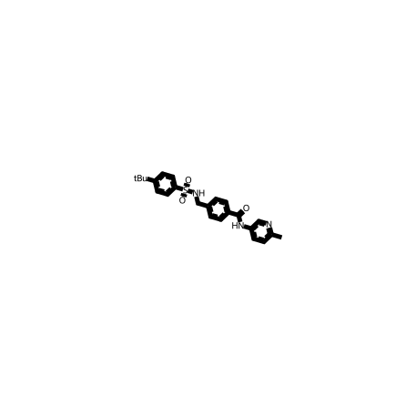 Cc1ccc(NC(=O)c2ccc(CNS(=O)(=O)c3ccc(C(C)(C)C)cc3)cc2)cn1